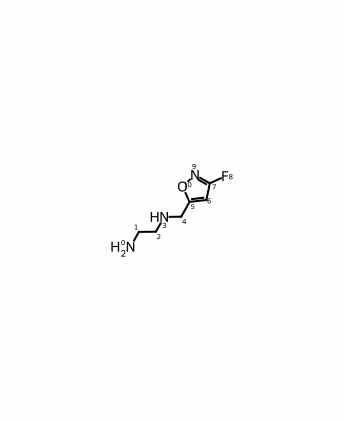 NCCNCc1cc(F)no1